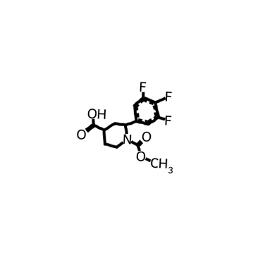 COC(=O)N1CCC(C(=O)O)CC1c1cc(F)c(F)c(F)c1